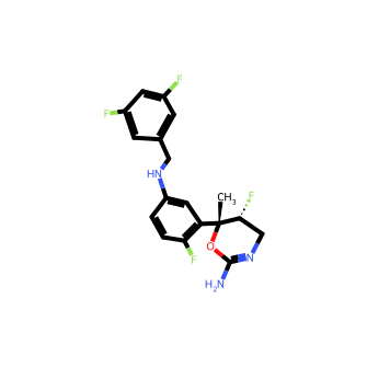 C[C@]1(c2cc(NCc3cc(F)cc(F)c3)ccc2F)OC(N)=NC[C@H]1F